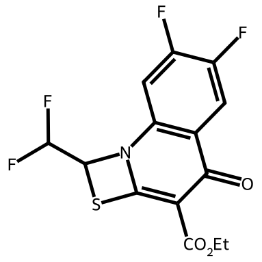 CCOC(=O)c1c2n(c3cc(F)c(F)cc3c1=O)C(C(F)F)S2